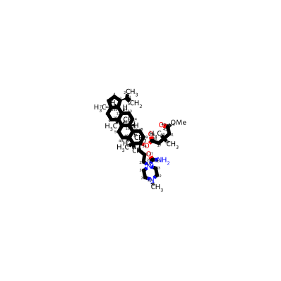 C=C(C)[C@@H]1CC[C@]2(C)CC[C@]3(C)[C@H](CC[C@@H]4[C@@]5(C)CC[C@](CCC[N+]6(C(N)=O)CCN(C)CC6)(OC(=O)CC(C)(C)CC(=O)OC)C(C)(C)[C@@H]5CC[C@]43C)[C@@H]12